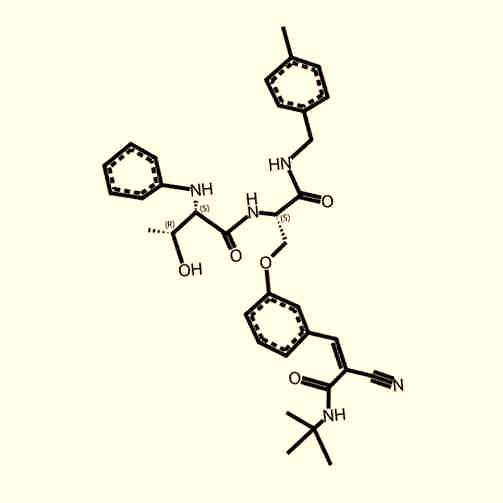 Cc1ccc(CNC(=O)[C@H](COc2cccc(C=C(C#N)C(=O)NC(C)(C)C)c2)NC(=O)[C@@H](Nc2ccccc2)[C@@H](C)O)cc1